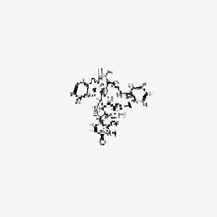 CC(NP(=O)(Oc1ccccc1)OC1C2OC(n3ccc(=O)[nH]c3=O)C(O)C21CO)C(=O)OCc1ccccc1